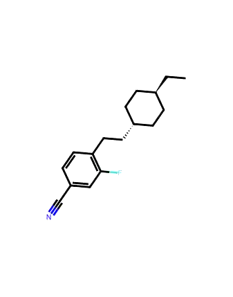 CC[C@H]1CC[C@H](CCc2ccc(C#N)cc2F)CC1